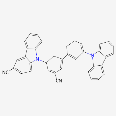 N#CC1=CC(n2c3ccccc3c3cc(C#N)ccc32)CC(C2=CC(n3c4ccccc4c4ccccc43)=CCC2)=C1